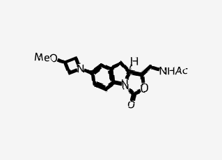 COC1CN(c2ccc3c(c2)C[C@H]2C(CNC(C)=O)OC(=O)N32)C1